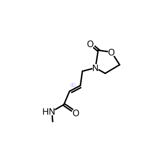 CNC(=O)/C=C/CN1CCOC1=O